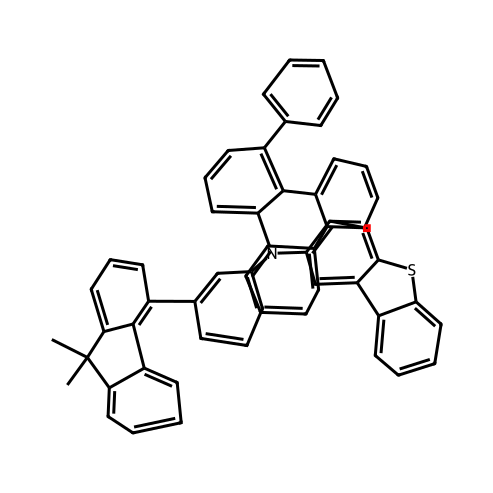 CC1(C)c2ccccc2-c2c(-c3cccc(N(c4ccc5sc6ccccc6c5c4)c4cccc(-c5ccccc5)c4-c4ccccc4-c4ccccc4)c3)cccc21